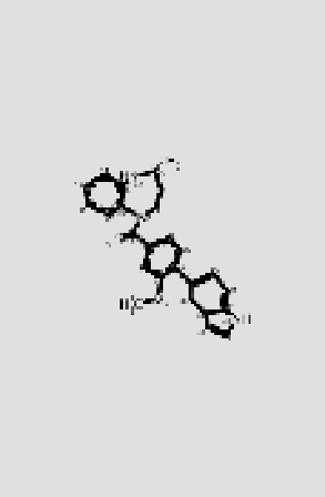 COc1cc(C(=O)N2CC[C@H](C)Nc3ccccc32)ccc1C1=CC=C2NC=CC2C1